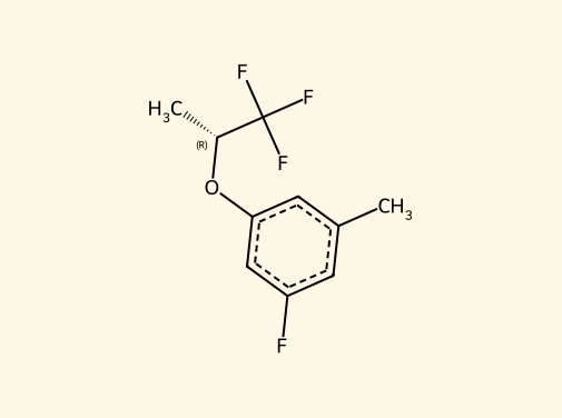 Cc1cc(F)cc(O[C@H](C)C(F)(F)F)c1